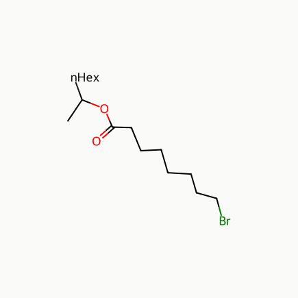 CCCCCCC(C)OC(=O)CCCCCCCBr